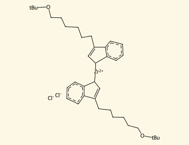 CC(C)(C)OCCCCCCC1=C[CH]([Zr+2][CH]2C=C(CCCCCCOC(C)(C)C)c3ccccc32)c2ccccc21.[Cl-].[Cl-]